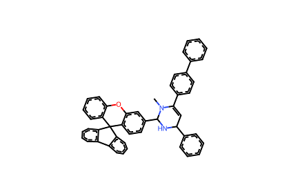 CN1C(c2ccc(-c3ccccc3)cc2)=CC(c2ccccc2)NC1c1ccc2c(c1)Oc1ccccc1C21c2ccccc2-c2ccccc21